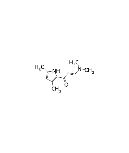 Cc1cc(C)c(C(=O)C=CN(C)C)[nH]1